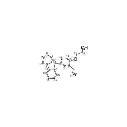 CC(C)Cc1cc(C2c3ccccc3-c3ccccc32)ccc1OCCO